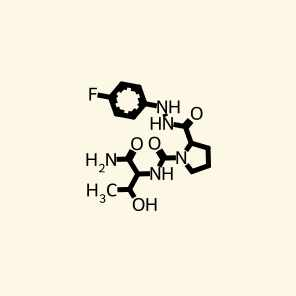 CC(O)C(NC(=O)N1CCCC1C(=O)NNc1ccc(F)cc1)C(N)=O